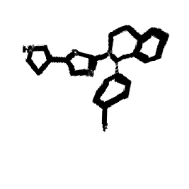 Fc1ccc([C@H]2c3ccccc3CCN2C2=NCC(C3CCNC3)O2)cc1